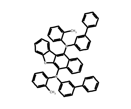 Cc1ccccc1N(c1cccc(-c2ccccc2)c1)c1c2ccccc2c(N(c2cccc(-c3ccccc3)c2)c2ccccc2C)c2c1oc1ccccc12